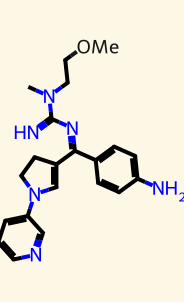 COCCN(C)C(=N)/N=C(\C1=CN(c2cccnc2)CC1)c1ccc(N)cc1